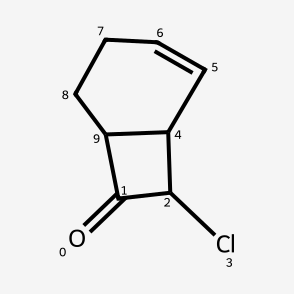 O=C1C(Cl)C2C=CCCC12